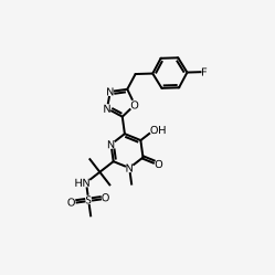 Cn1c(C(C)(C)NS(C)(=O)=O)nc(-c2nnc(Cc3ccc(F)cc3)o2)c(O)c1=O